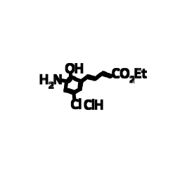 CCOC(=O)/C=C/C=C/c1cc(Cl)cc(N)c1O.Cl